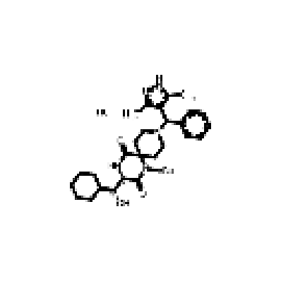 CCCCN1C(=O)[C@@H]([C@H](O)C2CCCCC2)NC(=O)C12CCN(C(c1ccccc1)c1c(C)n[nH]c1C)CC2.Cl